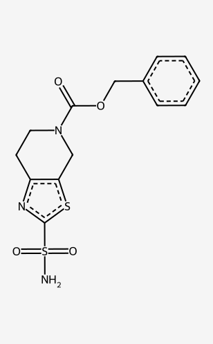 NS(=O)(=O)c1nc2c(s1)CN(C(=O)OCc1ccccc1)CC2